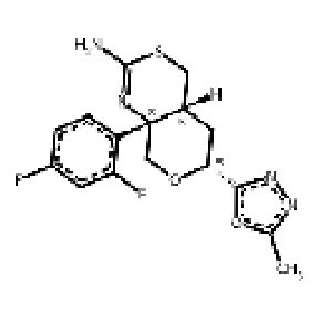 Cc1nnc([C@H]2C[C@H]3CSC(N)=N[C@@]3(c3ccc(F)cc3F)CO2)o1